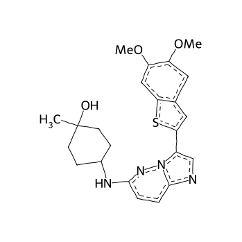 COc1cc2cc(-c3cnc4ccc(NC5CCC(C)(O)CC5)nn34)sc2cc1OC